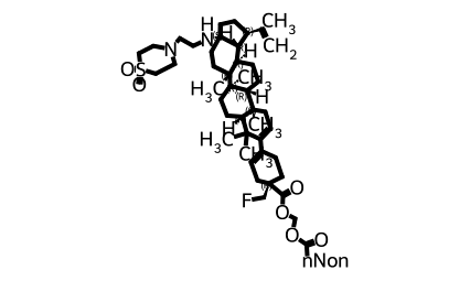 C=C(C)[C@@H]1CC[C@]2(NCCN3CCS(=O)(=O)CC3)CC[C@]3(C)[C@H](CC[C@@H]4[C@@]5(C)CC=C(C6=CC[C@@](CF)(C(=O)OCOC(=O)CCCCCCCCC)CC6)C(C)(C)[C@@H]5CC[C@]43C)[C@@H]12